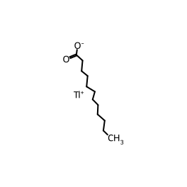 CCCCCCCCCCCC(=O)[O-].[Tl+]